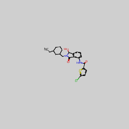 N#CCC1CCCC(CN2C(=O)c3c(NC(=O)c4ccc(Cl)s4)cccc3C2O)C1